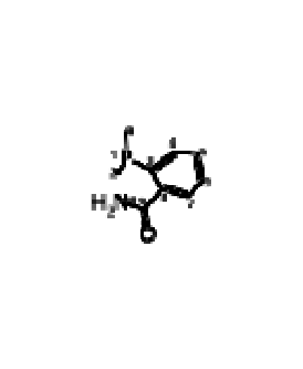 CP(C)c1ccccc1C(N)=O